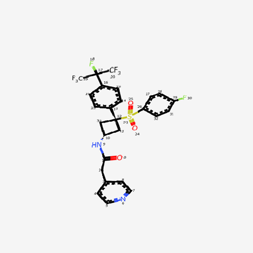 O=C(Cc1ccncc1)N[C@H]1C[C@@](c2ccc(C(F)(C(F)(F)F)C(F)(F)F)cc2)(S(=O)(=O)c2ccc(F)cc2)C1